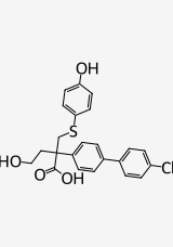 O=C(O)C(CCO)(CSc1ccc(O)cc1)c1ccc(-c2ccc(Cl)cc2)cc1